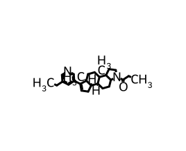 CCC(=O)N1CC[C@]2(C)C3CC[C@]4(C)C(c5cncc(CC)c5)=CC[C@H]4[C@@H]3CCC12